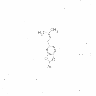 CC(=O)C1Oc2ccc(CC=C(C)C)cc2O1